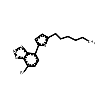 CCCCCCc1ccc(-c2ccc(Br)c3nnsc23)s1